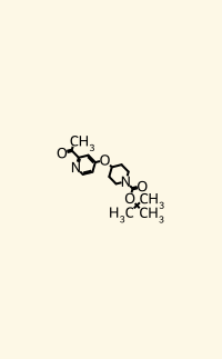 CC(=O)c1cc(OC2CCN(C(=O)OC(C)(C)C)CC2)ccn1